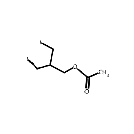 CC(=O)OCC(CI)CI